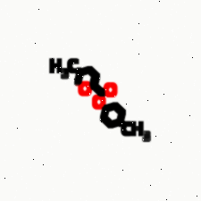 CC1CCC(OC(=O)C2=CCC(C)CO2)CC1